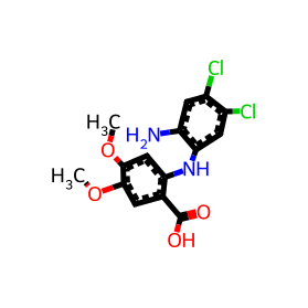 COc1cc(Nc2cc(Cl)c(Cl)cc2N)c(C(=O)O)cc1OC